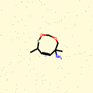 CC1/C=C\C(C)(N)COCOC1